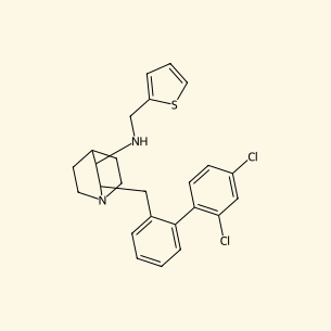 Clc1ccc(-c2ccccc2CC2C(NCc3cccs3)C3CCN2CC3)c(Cl)c1